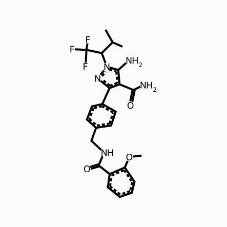 COc1ccccc1C(=O)NCc1ccc(-c2nn(C(C(C)C)C(F)(F)F)c(N)c2C(N)=O)cc1